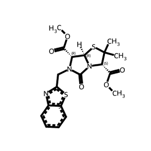 COC(=O)[C@@H]1[C@H]2SC(C)(C)[C@H](C(=O)OC)N2C(=O)N1Cc1nc2ccccc2s1